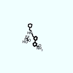 NC(=O)c1cccc(-c2cccc(CCNCCC3CCCCC3)c2)c1.O=C(O)C(F)(F)F